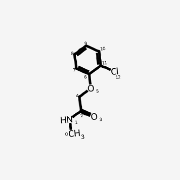 CNC(=O)COc1c[c]ccc1Cl